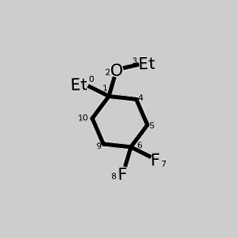 [CH2]CC1(OCC)CCC(F)(F)CC1